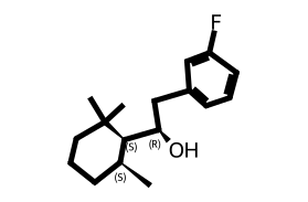 C[C@H]1CCCC(C)(C)[C@H]1[C@H](O)Cc1cccc(F)c1